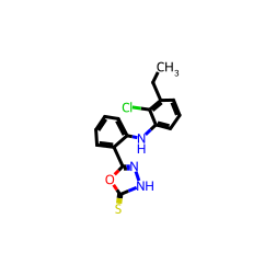 CCc1cccc(Nc2ccccc2-c2n[nH]c(=S)o2)c1Cl